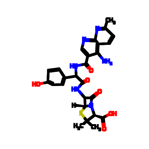 Cc1ccc2c(N)c(C(=O)NC(C(=O)NC3C(=O)N4[C@@H]3SC(C)(C)[C@@H]4C(=O)O)c3ccc(O)cc3)cnc2n1